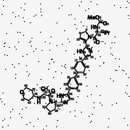 COC(=O)N[C@H](C(=O)N1CCC=C1c1ncc(-c2ccc(-c3ccc(-c4cnc([C@@H]5CCCN5C(=O)[C@@H](C)NC5CCOCC5)[nH]4)cc3)cc2)[nH]1)C(C)C